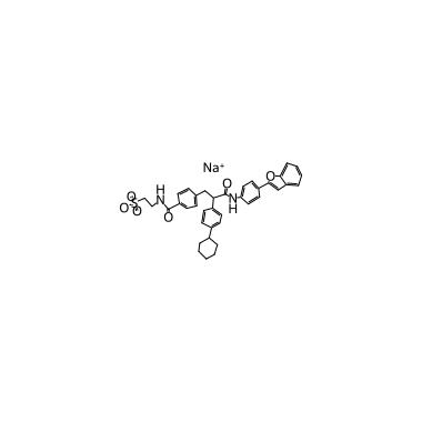 O=C(NCCS(=O)(=O)[O-])c1ccc(CC(C(=O)Nc2ccc(-c3cc4ccccc4o3)cc2)c2ccc(C3CCCCC3)cc2)cc1.[Na+]